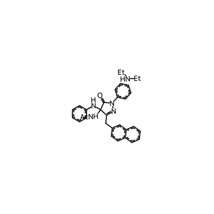 CC(=O)NC1(Nc2ccccc2)C(=O)N(c2ccccc2)N=C1Cc1ccc2ccccc2c1.CCNCC